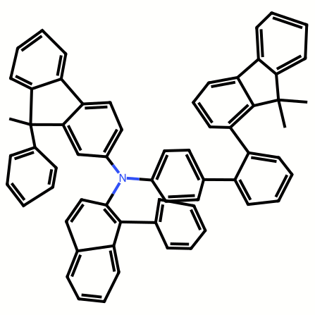 CC1(C)c2ccccc2-c2cccc(-c3ccccc3-c3ccc(N(c4ccc5c(c4)C(C)(c4ccccc4)c4ccccc4-5)c4ccc5ccccc5c4-c4ccccc4)cc3)c21